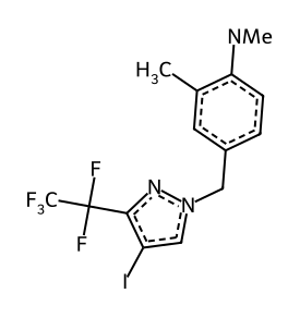 CNc1ccc(Cn2cc(I)c(C(F)(F)C(F)(F)F)n2)cc1C